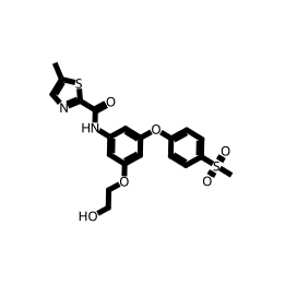 Cc1cnc(C(=O)Nc2cc(OCCO)cc(Oc3ccc(S(C)(=O)=O)cc3)c2)s1